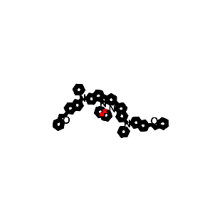 c1ccc(N(c2ccc3cc(-c4cc5ccccc5o4)ccc3c2)c2ccc3c(ccc4c5ccc6c7ccc8cc(N(c9ccccc9)c9ccc%10cc(-c%11cc%12ccccc%12o%11)ccc%10c9)ccc8c7n(-c7ccccc7)c6c5n(-c5ccccc5)c34)c2)cc1